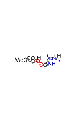 COC(Cc1ccc(OCCOc2ccc3[nH]cc(CC(N)C(=O)O)c3c2)cc1)C(=O)O